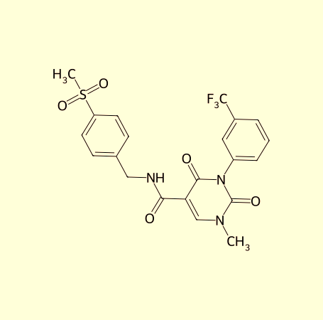 Cn1cc(C(=O)NCc2ccc(S(C)(=O)=O)cc2)c(=O)n(-c2cccc(C(F)(F)F)c2)c1=O